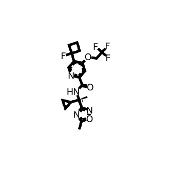 Cc1nc([C@@](C)(NC(=O)c2cc(OCC(F)(F)F)c(C3(F)CCC3)cn2)C2CC2)no1